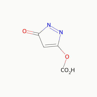 O=C1C=C(OC(=O)O)N=N1